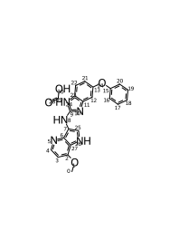 COc1ccnc2c(Nc3nc4cc(Oc5ccccc5)ccc4[nH]3)c[nH]c12.O=CO